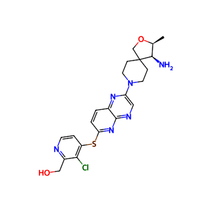 C[C@@H]1OCC2(CCN(c3cnc4nc(Sc5ccnc(CO)c5Cl)ccc4n3)CC2)[C@@H]1N